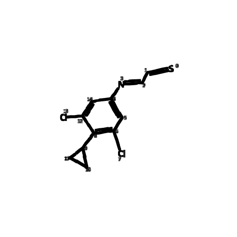 S=CC=Nc1cc(Cl)c(C2CC2)c(Cl)c1